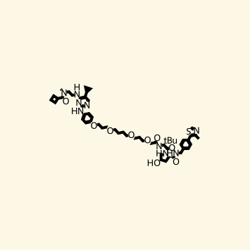 Cc1ncsc1-c1ccc(CNC(=O)[C@H]2C[C@H](O)CN2C(=O)[C@H](NC(=O)COCCCOCCCCOCCCOc2ccc(Nc3ncc(C4CC4)c(NCCN(C)C(=O)C4CCC4)n3)cc2)C(C)(C)C)cc1